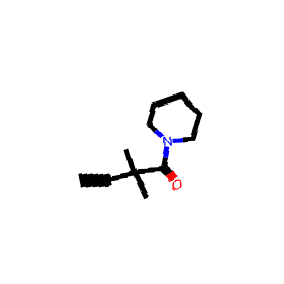 C#CC(C)(C)C(=O)N1CCCCC1